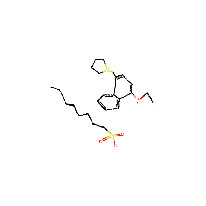 CCCCCCCCS(=O)(=O)[O-].CCOc1ccc([S+]2CCCC2)c2ccccc12